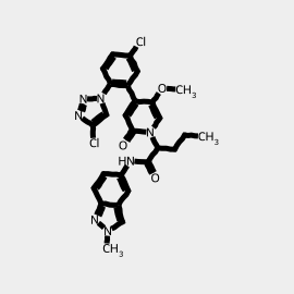 CCCC(C(=O)Nc1ccc2nn(C)cc2c1)n1cc(OC)c(-c2cc(Cl)ccc2-n2cc(Cl)nn2)cc1=O